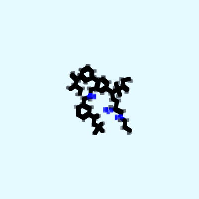 C=C(CC(C)(C)C)c1cccc(CNCc2cc(C(CC/C(N)=C/NCCC)C(C)(C)C(=C)CC)ccc2-c2cccc(C(=C)C(C)CC)c2)c1